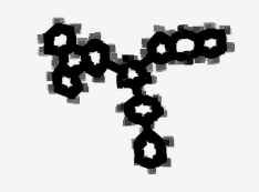 c1ccc(-c2ccc(-c3nc(-c4ccc5c(c4)Sc4ccccc4S5)nc(-c4ccc5c6ccccc6c6ccccc6c5c4)n3)cc2)cc1